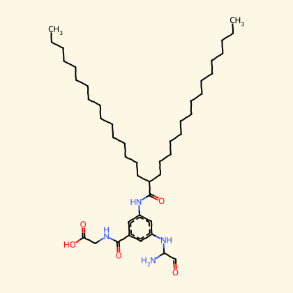 CCCCCCCCCCCCCCCCC(CCCCCCCCCCCCCCCC)C(=O)Nc1cc(NC(N)C=O)cc(C(=O)NCC(=O)O)c1